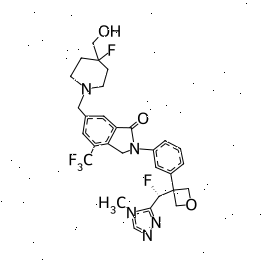 Cn1cnnc1[C@H](F)C1(c2cccc(N3Cc4c(cc(CN5CCC(F)(CO)CC5)cc4C(F)(F)F)C3=O)c2)COC1